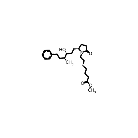 COC(=O)CCCSCCN1C(=O)CC[C@@H]1CC[C@@H](O)[C@@H](C)CCc1ccccc1